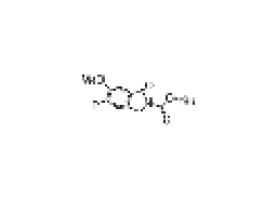 COc1cc2c(cc1F)CN(C(=O)OC(C)(C)C)C2=O